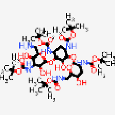 CC(C)(C)OC(=O)NCC1OC(OC2C(NC(=O)OC(C)(C)C)CC(NC(=O)OC(C)(C)C)C(OC3OC(CN)C(O)C(NC(=O)OC(C)(C)C)C3O)C2O)C(NC(=O)OC(C)(C)C)CC1O